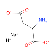 NC(CC(=O)[O-])C(=O)[O-].[H+].[Na+]